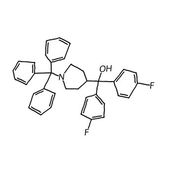 OC(c1ccc(F)cc1)(c1ccc(F)cc1)C1CCN(C(c2ccccc2)(c2ccccc2)c2ccccc2)CC1